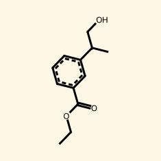 CCOC(=O)c1cccc([C](C)CO)c1